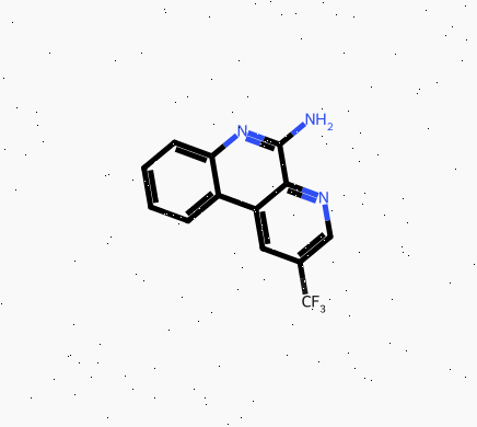 Nc1nc2ccccc2c2cc(C(F)(F)F)cnc12